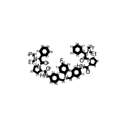 CCN(C(C)C)[C@@H](C(=O)N1CCC[C@H]1C(=O)Nc1ccc(CN(Cc2ccc(NC(=O)[C@@H]3CCCN3C(=O)[C@@H](c3ccccc3)N(CC)C(C)C)cc2)c2ccc(F)cc2)cc1)c1ccccc1